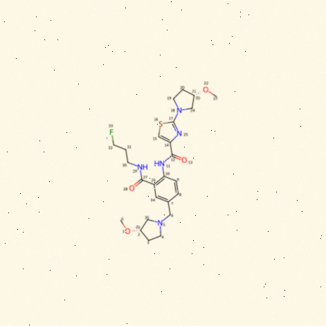 CO[C@H]1CCN(Cc2ccc(NC(=O)c3csc(N4CC[C@H](OC)C4)n3)c(C(=O)NCCCF)c2)C1